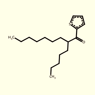 CCCCCCCC(CCCCC)C(=O)c1cccs1